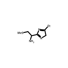 CCC1=NC(C(N)CSC)=NC1